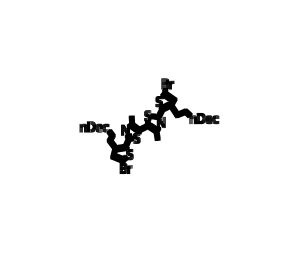 CCCCCCCCCCCCc1cc(Br)sc1-c1nc(C)c(-c2sc(-c3sc(Br)cc3CCCCCCCCCCCC)nc2C)s1